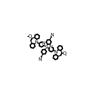 COC1=Cc2ccccc2N(c2ccc([Si](c3ccc(C#N)cc3)(c3ccc(C#N)cc3)c3ccc(N4c5ccccc5C=C(OC)c5ccccc54)cn3)nc2)c2ccccc21